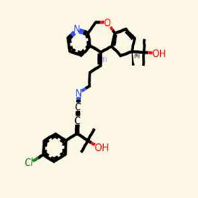 CC(C)(O)C(=C=C=NCC/C=C1/C2=C(C=C[C@](C)(C(C)(C)O)C2)OCc2ncccc21)c1ccc(Cl)cc1